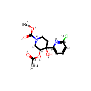 CC(C)(C)OC(=O)N1CC[C@](O)(c2cccc(Cl)n2)[C@@H](OC(=O)C(C)(C)C)C1